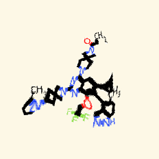 C=CC(=O)N1CC2(CCN(c3nc(N4CC5(CC(N6CCC[C@@H]6C)C5)C4)nc4c(OCC(F)(F)F)c(-c5c(C)ccc6[nH]ncc56)c(C5CC5)cc34)CC2)C1